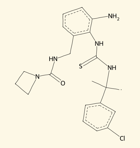 [CH2]C(C)(NC(=S)Nc1c(N)cccc1CNC(=O)N1CCC1)c1cccc(Cl)c1